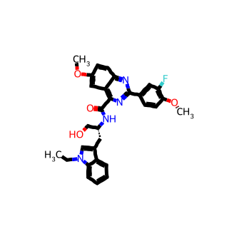 CCn1cc(C[C@H](CO)NC(=O)c2nc(-c3ccc(OC)c(F)c3)nc3ccc(OC)cc23)c2ccccc21